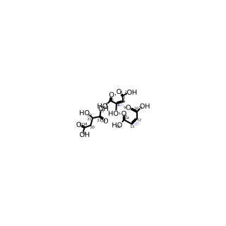 O=C(O)/C=C(/O)C(=O)O.O=C(O)/C=C\C(=O)O.O=C(O)CC(O)C(=O)O